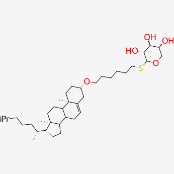 CC(C)CCC[C@@H](C)[C@H]1CCC2C3CC=C4C[C@@H](OCCCCCCS[C@@H]5OC[C@H](O)[C@H](O)[C@H]5O)CC[C@]4(C)C3CC[C@@]21C